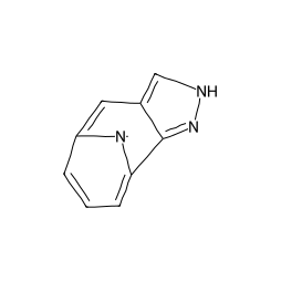 C1=CC2=Cc3c[nH]nc3C(=C1)[N]2